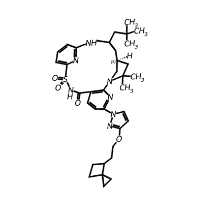 CC(C)(C)CC1CNc2cccc(n2)S(=O)(=O)NC(=O)c2ccc(-n3ccc(OCCC4CCC45CC5)n3)nc2N2C[C@@H](C1)CC2(C)C